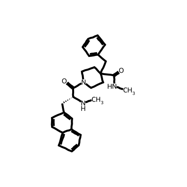 CNC(=O)C1(Cc2ccccc2)CCN(C(=O)[C@@H](Cc2ccc3ccccc3c2)NC)CC1